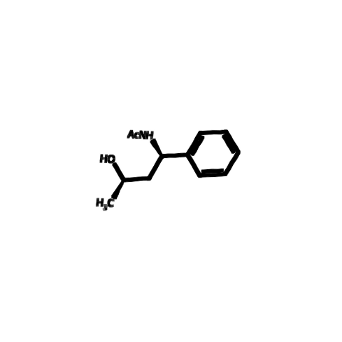 CC(=O)N[C@H](C[C@@H](C)O)c1ccccc1